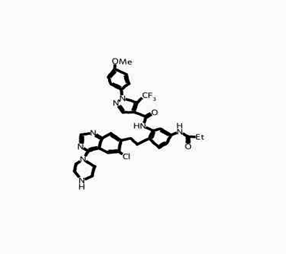 CCC(=O)Nc1ccc(CCc2cc3ncnc(N4CCNCC4)c3cc2Cl)c(NC(=O)c2cnn(-c3ccc(OC)cc3)c2C(F)(F)F)c1